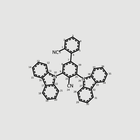 N#Cc1ccccc1-c1cc(-n2c3ccccc3c3ccccc32)c(C#N)c(-n2c3ccccc3c3ccccc32)c1